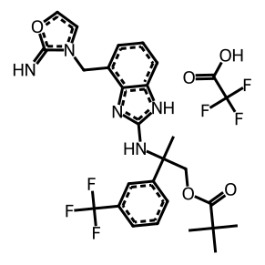 CC(C)(C)C(=O)OCC(C)(Nc1nc2c(Cn3ccoc3=N)cccc2[nH]1)c1cccc(C(F)(F)F)c1.O=C(O)C(F)(F)F